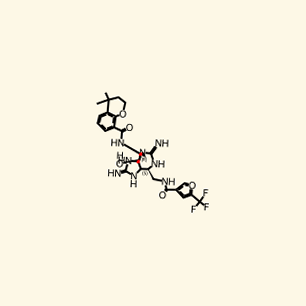 CC1(C)CCOc2c(C(=O)NC3CN4C(=N)N[C@@H](CNC(=O)c5coc(C(F)(F)F)c5)C5NC(=N)NC54[C@@H]3O)cccc21